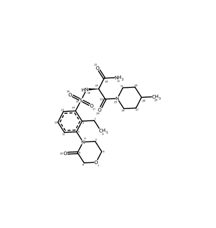 CCc1c(N2CCOCC2=O)cccc1S(=O)(=O)N[C@@H](C(N)=O)C(=O)N1CCC(C)CC1